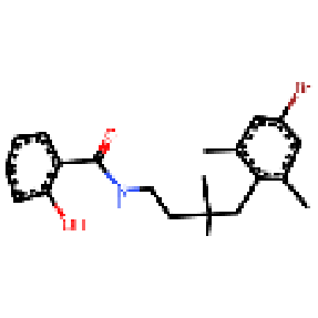 Cc1cc(Br)cc(C)c1CC(C)(C)CCNC(=O)c1ccccc1O